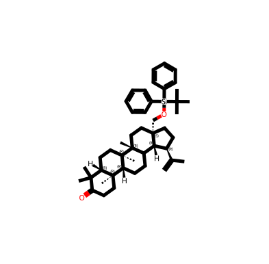 C=C(C)[C@@H]1CC[C@]2(CO[Si](c3ccccc3)(c3ccccc3)C(C)(C)C)CC[C@]3(C)C(CC[C@@H]4[C@@]5(C)CCC(=O)C(C)(C)[C@@H]5CC[C@]43C)[C@@H]12